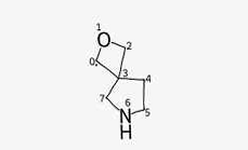 [CH]1OCC12CCNC2